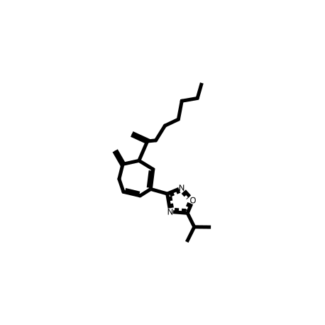 C=C1CC=CC(c2noc(C(C)C)n2)=CC1C(=C)CCCCCC